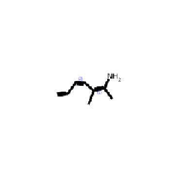 C=C/C=C\C(C)=C(\C)N